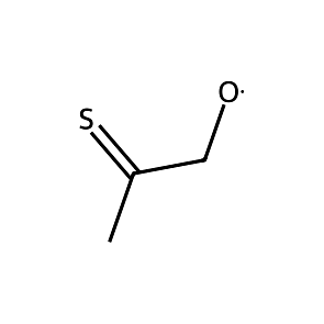 CC(=S)C[O]